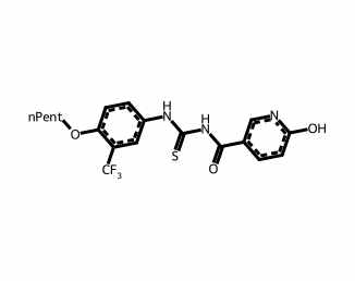 CCCCCOc1ccc(NC(=S)NC(=O)c2ccc(O)nc2)cc1C(F)(F)F